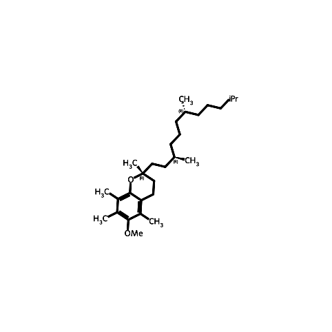 COc1c(C)c(C)c2c(c1C)CC[C@@](C)(CC[C@H](C)CCC[C@H](C)CCCC(C)C)O2